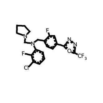 Fc1cc(-c2nnc(C(F)(F)F)o2)ccc1CN(CN1CCCC1)c1cccc(Cl)c1F